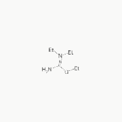 CCOC(N)=[N+](CC)CC